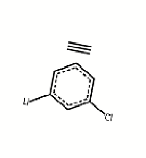 C#C.[Li][c]1cccc(Cl)c1